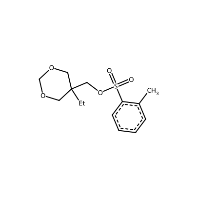 CCC1(COS(=O)(=O)c2ccccc2C)COCOC1